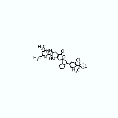 Cc1cc(C)n2nc(CC3=C(O)CC(CCc4ccc(C(C)(C)O)c(Cl)c4)(C4CCCC4)OC3=O)nc2n1